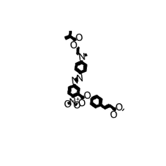 C=C(C)C(=O)OCCN(C)c1ccc(/N=N/c2ccc([N+](=O)[O-])c(C(=O)Oc3ccc(/C=C/C(=O)OC)cc3)c2)cc1